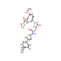 COc1ccc([C@@H]2CC(=O)N(CC(=O)Nc3nc(-c4ccc(F)cc4)cs3)C2)cc1OC1CCCO1